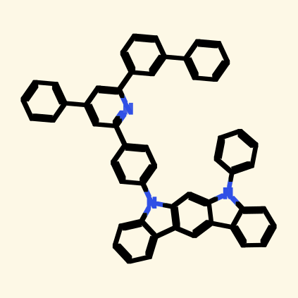 c1ccc(-c2cccc(-c3cc(-c4ccccc4)cc(-c4ccc(-n5c6ccccc6c6cc7c8ccccc8n(-c8ccccc8)c7cc65)cc4)n3)c2)cc1